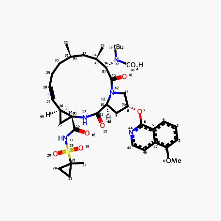 COc1cccc2c(O[C@@H]3C[C@H]4C(=O)N[C@]5(C(=O)NS(=O)(=O)C6(C)CC6)C[C@H]5/C=C\CC[C@@H](C)C[C@@H](C)[C@H](N(C(=O)O)C(C)(C)C)C(=O)N4C3)nccc12